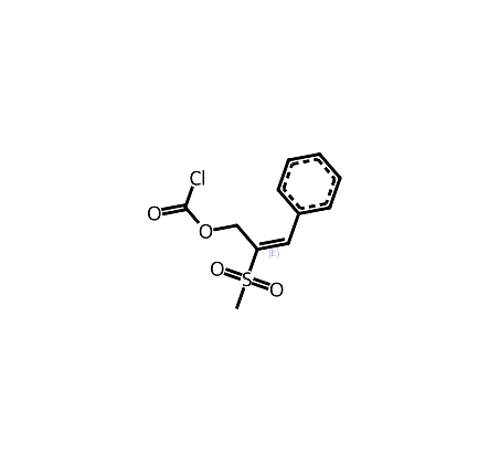 CS(=O)(=O)/C(=C/c1ccccc1)COC(=O)Cl